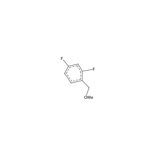 COCc1ccc(F)cc1F